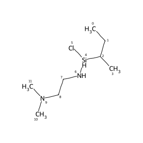 CCC(C)[SiH](Cl)NCCN(C)C